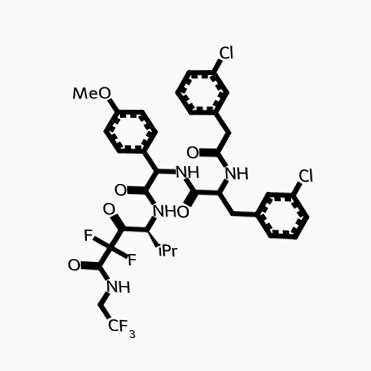 COc1ccc(C(NC(=O)C(Cc2cccc(Cl)c2)NC(=O)Cc2cccc(Cl)c2)C(=O)N[C@H](C(=O)C(F)(F)C(=O)NCC(F)(F)F)C(C)C)cc1